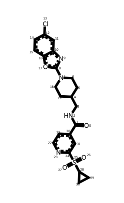 O=C(NCC1CCN(c2nc3cc(Cl)ccc3o2)CC1)c1ccnc(S(=O)(=O)C2CC2)c1